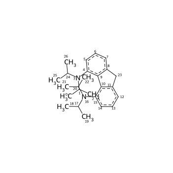 CC(C)N(c1cccc2c1-c1c(cccc1N(C(C)C)C(C)C)C2)C(C)C